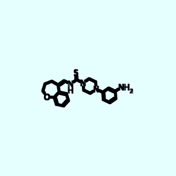 Nc1cccc(N2CCN(C(=S)N/C=C3/CCCOc4ccccc43)CC2)c1